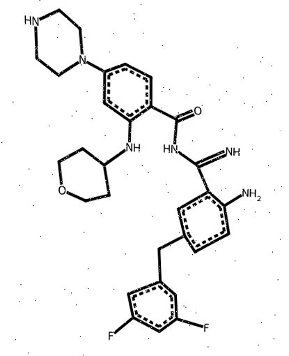 N=C(NC(=O)c1ccc(N2CCNCC2)cc1NC1CCOCC1)c1cc(Cc2cc(F)cc(F)c2)ccc1N